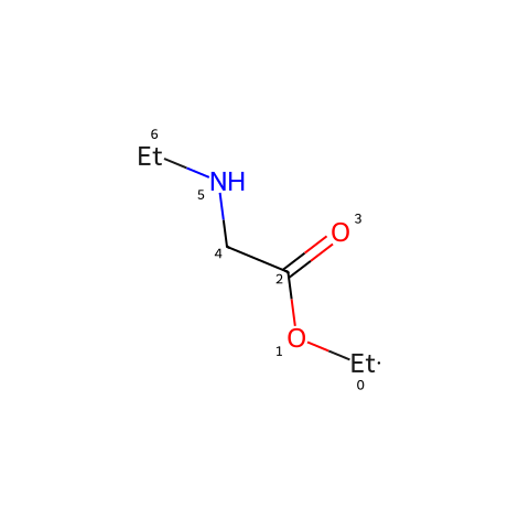 C[CH]OC(=O)CNCC